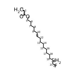 C=CC(=O)OCCCCCCCCCCCCCCC[SiH2]CF